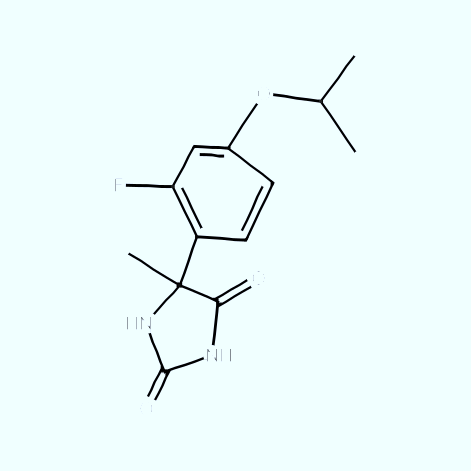 CC(C)Oc1ccc(C2(C)NC(=O)NC2=O)c(F)c1